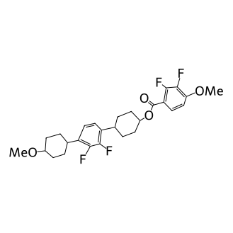 COc1ccc(C(=O)OC2CCC(c3ccc(C4CCC(OC)CC4)c(F)c3F)CC2)c(F)c1F